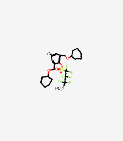 CCc1cc(COC2CCCCC2)c(OS(=O)(=O)C(F)(F)C(F)(F)C(F)(F)S(=O)(=O)O)c(COC2CCCCC2)c1